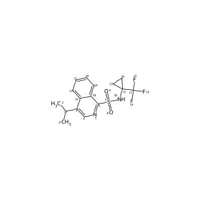 CC(C)c1cnc(S(=O)(=O)NC2(C(F)(F)F)CC2)c2ccccc12